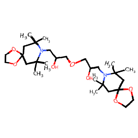 CC1(C)CC2(CC(C)(C)N1CC(O)COCC(O)CN1C(C)(C)CC3(CC1(C)C)OCCO3)OCCO2